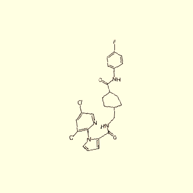 O=C(NCC1CCC(C(=O)Nc2ccc(F)cc2)CC1)c1cccn1-c1ncc(Cl)cc1Cl